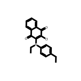 CCc1ccc(N(CC)C2=C(Cl)C(=O)c3ccccc3C2=O)cc1